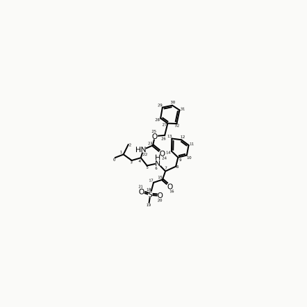 CC(C)CC(CNC(Cc1ccccc1)C(=O)CS(C)(=O)=O)NC(=O)OCc1ccccc1